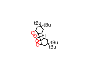 CCC(C)(C12CCC(C(C)(C)C)(C(C)(C)C)CC1OO2)C12CCC(C(C)(C)C)(C(C)(C)C)CC1OO2